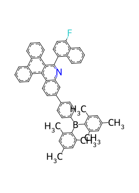 Cc1cc(C)c(B(c2ccc(-c3ccc4c(c3)nc(-c3ccc(F)c5ccccc35)c3c5ccccc5c5ccccc5c43)cc2)c2c(C)cc(C)cc2C)c(C)c1